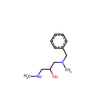 CNCC(O)CN(C)Cc1ccccc1